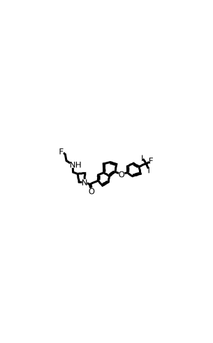 O=C(c1ccc2c(Oc3ccc(C(F)(I)I)cc3)cccc2c1)N1CC(CNCCF)C1